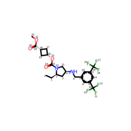 CC[C@@H]1C[C@H](NCc2cc(C(F)(F)F)cc(C(F)(F)F)c2)CN1C(=O)O[C@H]1C[C@@H](C(=O)OC)C1